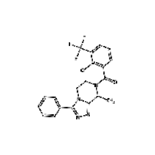 CC1c2nnc(-c3ccccc3)n2CCN1C(=O)c1cccc(C(F)(F)F)c1Cl